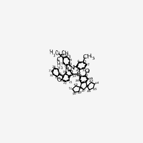 Cc1cc2c3c(c1)-n1c4ccc(C(C)(C)C)cc4n4c5c(ccc6oc7ccccc7c65)c(c14)B3c1cc3c(cc1O2)C1(CCCC1)CC31CCCC1